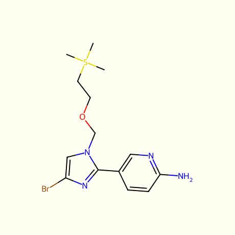 CS(C)(C)CCOCn1cc(Br)nc1-c1ccc(N)nc1